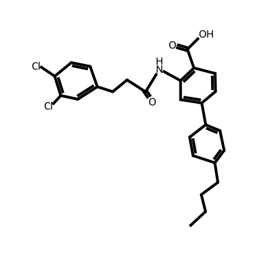 CCCCc1ccc(-c2ccc(C(=O)O)c(NC(=O)CCc3ccc(Cl)c(Cl)c3)c2)cc1